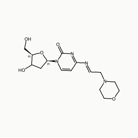 O=c1nc(N=CCN2CCOCC2)ccn1[C@H]1CC(O)[C@@H](CO)O1